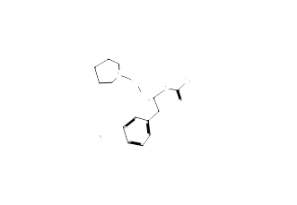 Cl.NC(=O)N[C@@H](CON1CCCCC1)Cc1ccccc1